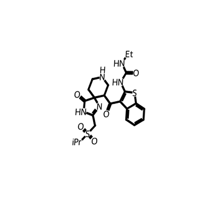 CCNC(=O)Nc1sc2ccccc2c1C(=O)C1CNCCC12N=C(CS(=O)(=O)C(C)C)NC2=O